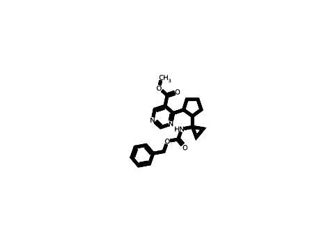 COC(=O)c1cncnc1C1CCCC1C1(NC(=O)OCc2ccccc2)CC1